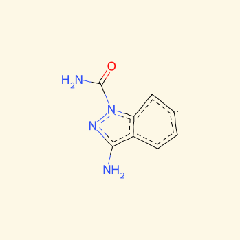 NC(=O)n1nc(N)c2cc[c]cc21